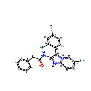 O=C(Cc1ccccc1)Nc1nc2ccc(F)cn2c1-c1ccc(F)cc1F